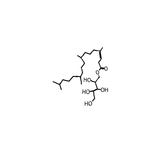 CC(=CCC(=O)OCC(O)C(O)C(O)CO)CCCC(C)CCCC(C)CCCC(C)C